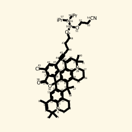 CC1=CC(C)(C)N2CCCc3c2c1cc1c3C(C)(C)c2c(cc3c4c2CCCN4C(C)(C)C=C3C)C12OC(=O)c1c(Cl)cc(C#CCCCOP(OCCC#N)N(C(C)C)C(C)C)cc12